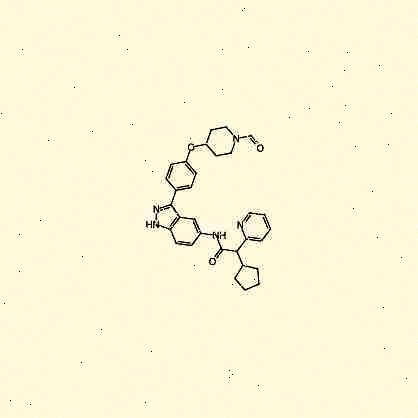 O=CN1CCC(Oc2ccc(-c3n[nH]c4ccc(NC(=O)C(c5ccccn5)C5CCCC5)cc34)cc2)CC1